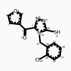 O=C(c1ccoc1)c1nnc(S)n1Cc1ccccc1Cl